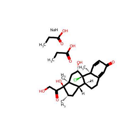 CCC(=O)O.CCC(=O)O.C[C@H]1C[C@H]2[C@@H]3CCC4=CC(=O)C=C[C@]4(C)[C@@]3(Cl)[C@@H](O)C[C@]2(C)[C@@]1(O)C(=O)CO.[NaH]